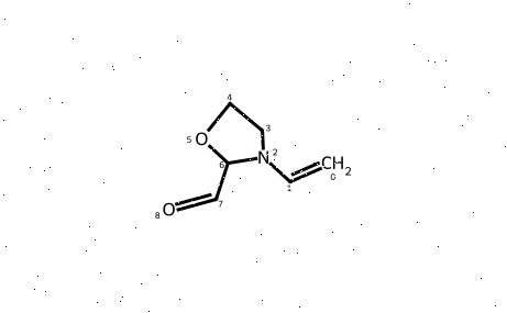 C=CN1CCOC1C=O